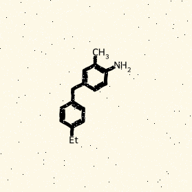 CCc1ccc(Cc2ccc(N)c(C)c2)cc1